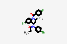 CCC(=O)N(c1ccc(Br)cc1)C1CC(C)N(C(=O)c2ccc(F)cc2)c2ccc(Br)cc21